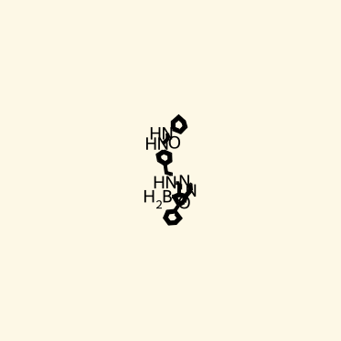 Bc1c(-c2ccccc2)oc2ncnc(NCCc3ccc(NC(=O)Nc4ccccc4)cc3)c12